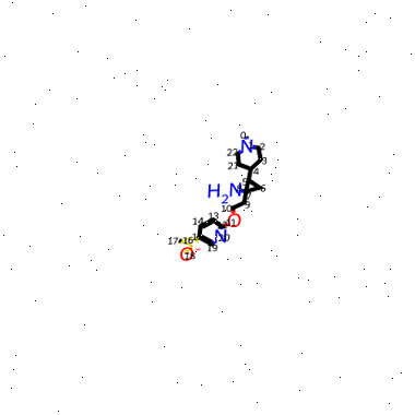 CN1CCC(C2CC2(N)CCOc2ccc([S+](C)[O-])cn2)CC1